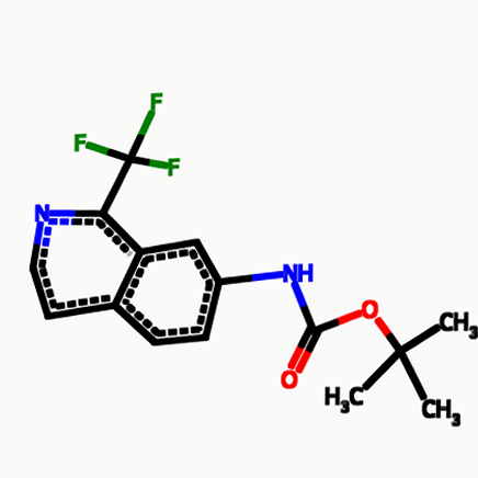 CC(C)(C)OC(=O)Nc1ccc2ccnc(C(F)(F)F)c2c1